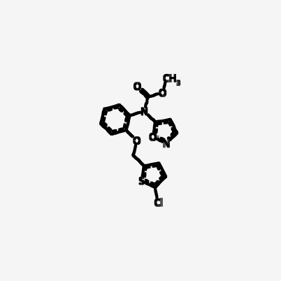 COC(=O)N(c1ccno1)c1ccccc1OCc1ccc(Cl)s1